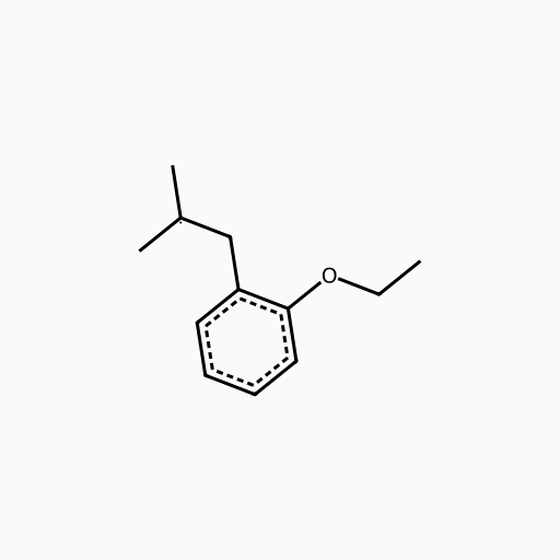 CCOc1ccccc1C[C](C)C